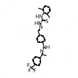 C/C(=N\Nc1ccc(C=NNC(=S)Nc2c(C)cccc2C)cc1)c1ccc(C(F)(F)F)cc1